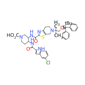 CC(C)(CO[Si](c1ccccc1)(c1ccccc1)C(C)(C)C)N1CCc2nc(C(=O)N[C@@H]3CN(C(=O)O)CC[C@@H]3NC(=O)c3cc4cc(Cl)ccc4[nH]3)sc2C1